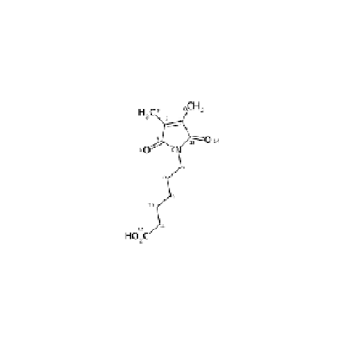 CC1=C(C)C(=O)N(CCCCCC(=O)O)C1=O